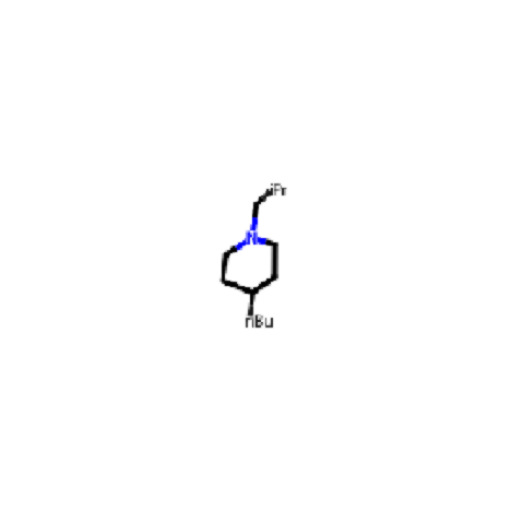 CCCCC1CCN(CC(C)C)CC1